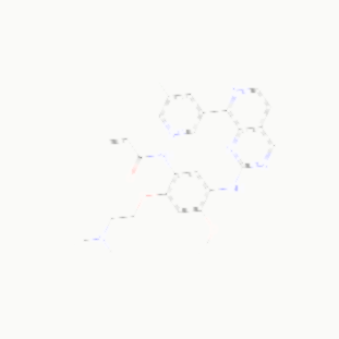 C=CC(=O)Nc1cc(Nc2ncc3ccnc(-c4cncc(F)c4)c3n2)c(OC)cc1OCCN(C)C